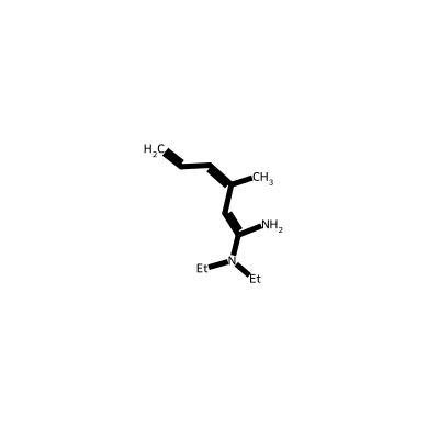 C=C/C=C(C)\C=C(/N)N(CC)CC